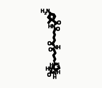 Cc1cc(N)ccc1C(=O)NC(=O)CCCCC(=O)NC(=O)CCCC[C@@H]1SC[C@@H]2NC(=O)N[C@@H]21